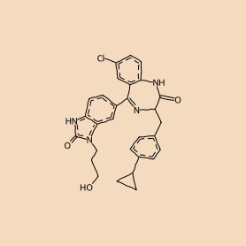 O=C1Nc2ccc(Cl)cc2C(c2ccc3[nH]c(=O)n(CCCO)c3c2)=NC1Cc1ccc(C2CC2)cc1